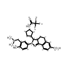 CN(C)Cc1cc(N2N=C3c4ccc(C(=O)O)cc4CCC3C2C2CCCC2)ccc1C#N.O=C(O)C(F)(F)F